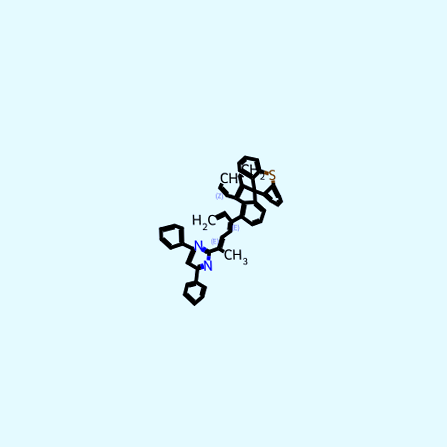 C=CC1=C(/C=C\C)c2c(/C(C=C)=C/C=C(\C)c3nc(-c4ccccc4)cc(-c4ccccc4)n3)cccc2C12c1ccccc1Sc1ccccc12